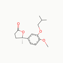 COc1ccc([C@@]2(C)CCC(=O)O2)cc1OCC(C)C